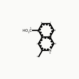 Cc1cc2c(C(=O)O)cccc2cn1